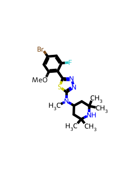 COc1cc(Br)cc(F)c1-c1nnc(N(C)C2CC(C)(C)NC(C)(C)C2)s1